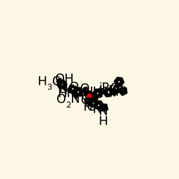 CC(C)Oc1ccccc1[C@@H]1CCCN1C1CC2(CCN(c3ccc(C(=O)NS(=O)(=O)c4cc5c(c([N+](=O)[O-])c4)N[C@H](CN4CCC(C)(O)CC4)CO5)c(N4c5cc6cc[nH]c6nc5O[C@@H]5COC[C@H]54)c3)CC2)C1